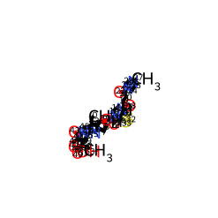 CCc1c2c(nc3ccc(OC(=O)N4CCN(C(=O)CCC(=O)N5CCN(C)CC5)[C@@H]5CSSC[C@@H]54)cc13)-c1cc3c(c(=O)n1C2)COC(=O)[C@@]3(O)CC